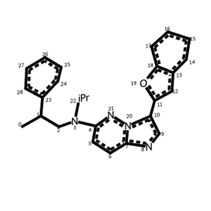 CC(CN(c1ccc2ncc(-c3cc4ccccc4o3)n2n1)C(C)C)c1ccccc1